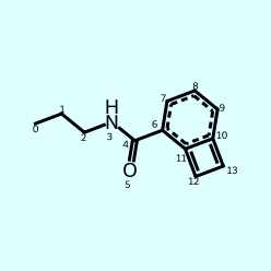 CCCNC(=O)c1cccc2c1=CC=2